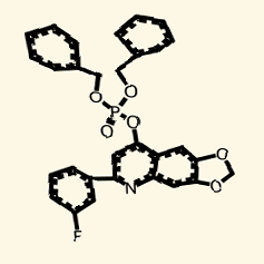 O=P(OCc1ccccc1)(OCc1ccccc1)Oc1cc(-c2cccc(F)c2)nc2cc3c(cc12)OCO3